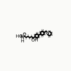 O=C(CCCC[C@@H](O)c1ccc(-c2ccc(CN3CCCCC3)cc2)cc1)NO